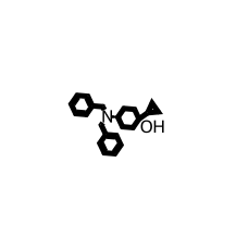 O[C@]1(C2CC2)CC[C@H](N(Cc2ccccc2)Cc2ccccc2)CC1